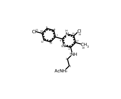 CC(=O)NCCNc1nc(-c2ccc(Cl)cc2)nc(Cl)c1C